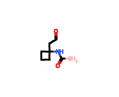 BC(=O)NC1(CC=O)CCC1